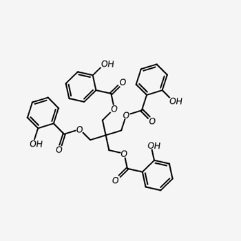 O=C(OCC(COC(=O)c1ccccc1O)(COC(=O)c1ccccc1O)COC(=O)c1ccccc1O)c1ccccc1O